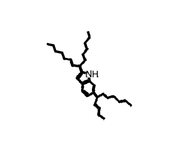 CCCCCCCC(CCCCCC)c1cc2ccc(C(CCCC)CCCCCC)cc2[nH]1